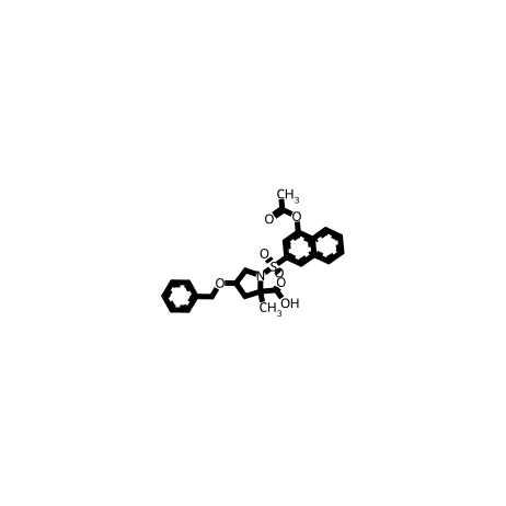 CC(=O)Oc1cc(S(=O)(=O)N2CC(OCc3ccccc3)CC2(C)C(=O)O)cc2ccccc12